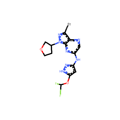 CCc1nn(C2CCOC2)c2nc(Nc3cc(OC(F)F)[nH]n3)cnc12